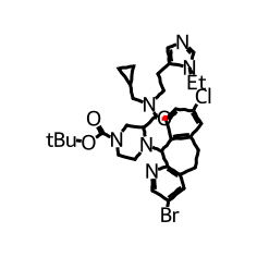 CCn1cncc1CCN(CC1CC1)C(=O)C1CN(C(=O)OC(C)(C)C)CCN1C1c2ccc(Cl)cc2CCc2cc(Br)cnc21